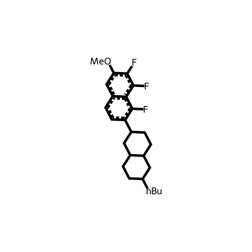 CCCCC1CCC2CC(c3ccc4cc(OC)c(F)c(F)c4c3F)CCC2C1